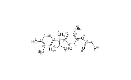 CC(C=O)C(C)(c1ccc(O)c(C(C)(C)C)c1)c1ccc(OC(=O)CO)c(C(C)(C)C)c1